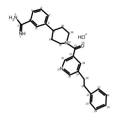 Cl.N=C(N)c1cccc(C2CCN(C(=O)c3cncc(CCc4ccccc4)c3)CC2)c1